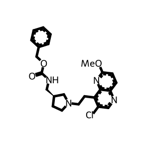 COc1ccc2ncc(Cl)c(CCN3CC[C@@H](CNC(=O)OCc4ccccc4)C3)c2n1